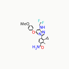 COc1ccc(Oc2cc(NCC(F)F)c3ncc(-c4ccc(C(N)=O)c(C)c4C4CC4)n3c2)cc1